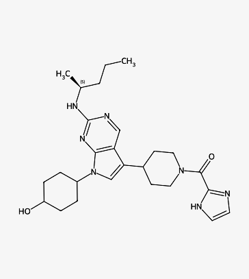 CCC[C@H](C)Nc1ncc2c(C3CCN(C(=O)c4ncc[nH]4)CC3)cn(C3CCC(O)CC3)c2n1